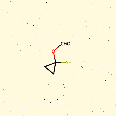 O=COC1(S)CC1